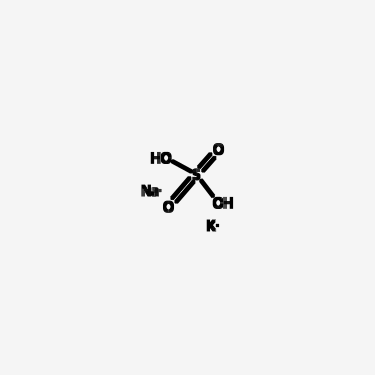 O=S(=O)(O)O.[K].[Na]